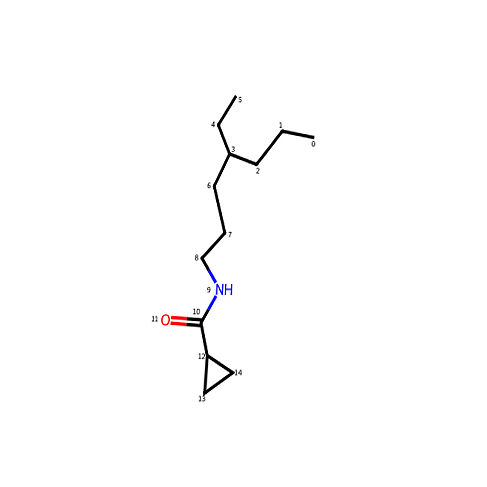 CCCC(CC)CCCNC(=O)C1CC1